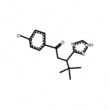 CC(C)(C)C(CC(=O)c1ccc(Cl)cc1)c1nc[nH]n1